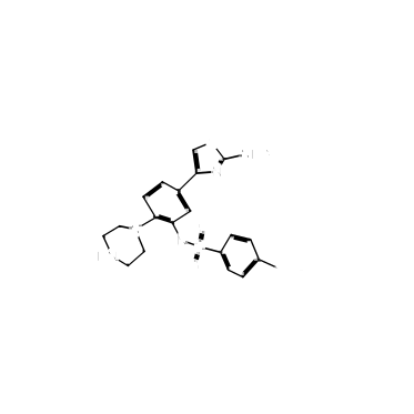 CCCCCc1ccc(S(=O)(=O)Nc2cc(-c3csc(NC(C)=O)n3)ccc2N2CCNCC2)cc1